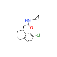 O=C(/C=C1/CCCc2ccc(Cl)cc21)NC1CC1